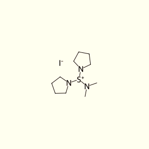 CN(C)[S+](N1CCCC1)N1CCCC1.[I-]